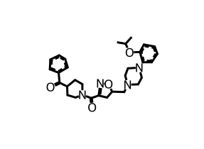 CC(C)Oc1ccccc1N1CCN(CC2CC(C(=O)N3CCC(C(=O)c4ccccc4)CC3)=NO2)CC1